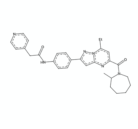 CCc1cc(C(=O)N2CCCCCC2C)nc2cc(-c3ccc(NC(=O)Cc4ccncc4)cc3)nn12